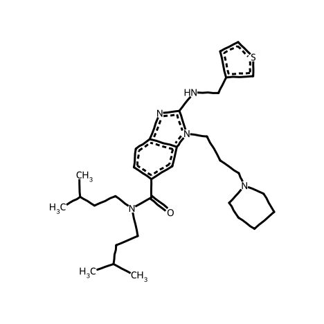 CC(C)CCN(CCC(C)C)C(=O)c1ccc2nc(NCc3ccsc3)n(CCCN3CCCCC3)c2c1